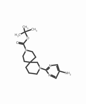 CC(C)(C)OC(=O)N1CCC2(CCCN(c3ncc(N)cn3)C2)CC1